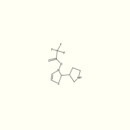 O=C(ON1C=CSC1C1CCNC1)C(F)(F)F